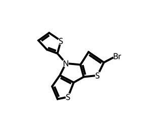 Brc1cc2c(s1)c1sccc1n2-c1cccs1